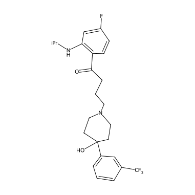 CC(C)Nc1cc(F)ccc1C(=O)CCCN1CCC(O)(c2cccc(C(F)(F)F)c2)CC1